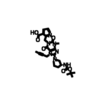 CC#CCn1c(N2CCC[C@@H](NC(=O)OC(C)(C)C)C2)nc2c1c(=O)n(Cc1ncccc1C(=O)O)c(=O)n2C